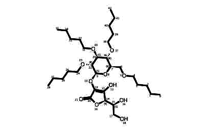 CCCCCOC[C@H]1O[C@@H](OC2=C(O)[C@@H]([C@@H](O)CO)OC2=O)[C@H](OCCCCC)[C@@H](OCCCCC)[C@@H]1OCCCCC